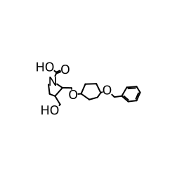 O=C(O)N1CCC(CO)C1COC1CCC(OCc2ccccc2)CC1